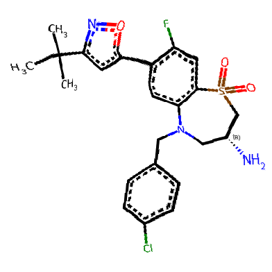 CC(C)(C)c1cc(-c2cc3c(cc2F)S(=O)(=O)C[C@H](N)CN3Cc2ccc(Cl)cc2)on1